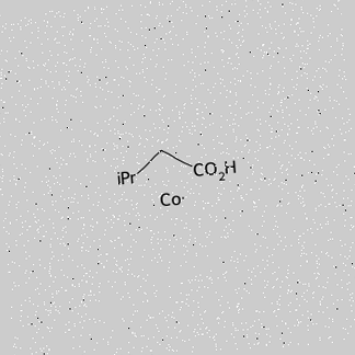 CC(C)CC(=O)O.[Co]